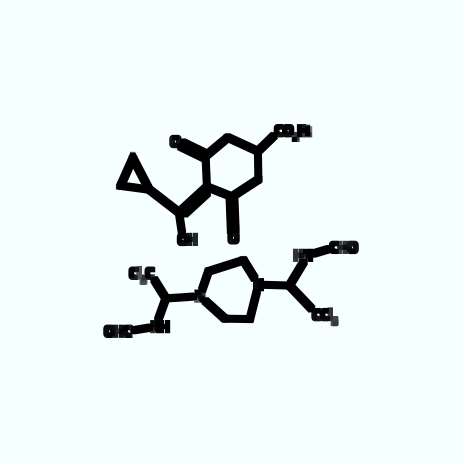 CCOC(=O)C1CC(=O)C(=C(O)C2CC2)C(=O)C1.O=CNC(N1CCN(C(NC=O)C(Cl)(Cl)Cl)CC1)C(Cl)(Cl)Cl